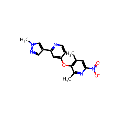 Cc1cc([N+](=O)[O-])nc(C)c1Oc1ccnc(-c2cnn(C)c2)c1